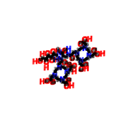 CN(C[C@H](O)[C@@H](O)[C@H](O)[C@H](O)CO)C(=O)C(CNC(=O)CN1CCN(CC(=O)O)CCN(CC(=O)O)CCN(CC(=O)O)CC1)NC(=O)CN1CCN(CC(=O)O)CCN(CC(=O)O)CCN(CC(=O)O)CC1